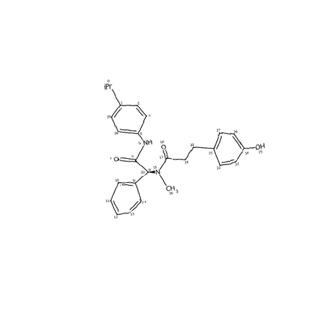 CC(C)c1ccc(NC(=O)[C@H](c2ccccc2)N(C)C(=O)CCc2ccc(O)cc2)cc1